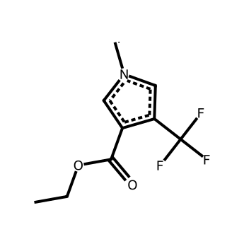 [CH2]n1cc(C(=O)OCC)c(C(F)(F)F)c1